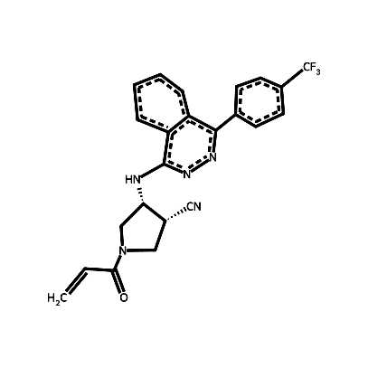 C=CC(=O)N1C[C@@H](C#N)[C@@H](Nc2nnc(-c3ccc(C(F)(F)F)cc3)c3ccccc23)C1